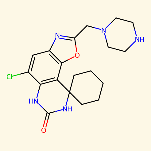 O=C1Nc2c(Cl)cc3nc(CN4CCNCC4)oc3c2C2(CCCCC2)N1